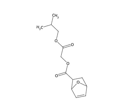 CC(C)COC(=O)COC(=O)C1CC2C=CC1O2